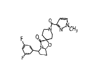 Cn1ccc(C(=O)N2CCC3(CC2)OC2CCC(c4cc(F)cc(F)c4)N2C3=O)n1